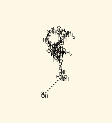 CCCC[C@H](NC(=O)[C@H](CN)NC(=O)[C@H](Cc1c[nH]cn1)NC(=O)[C@H](CCC(N)=O)NC(=O)[C@H](CO)NC(=O)CNC(=O)COCCOCCNC(=O)C[C@H](NC(=O)CCCCCCCCCCCCCCCCC(=O)O)C(=O)O)C(=O)N[C@H]1CCC(=O)NCCCC[C@@H](C(C)=O)NC(=O)[C@H](Cc2c[nH]c3ccccc23)NC(=O)[C@H](CCCNC(=N)N)NC(=O)[C@@H](Cc2ccccc2)NC(=O)[C@@H]2C[C@@H](O)CN2C1=O